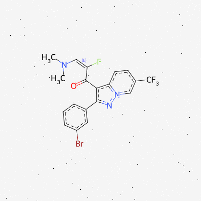 CN(C)/C=C(/F)C(=O)c1c(-c2cccc(Br)c2)nn2cc(C(F)(F)F)ccc12